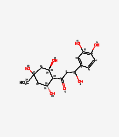 O=C(CC(O)c1ccc(O)c(O)c1)C1[C@H](O)CC(O)(C(=O)O)C[C@H]1O